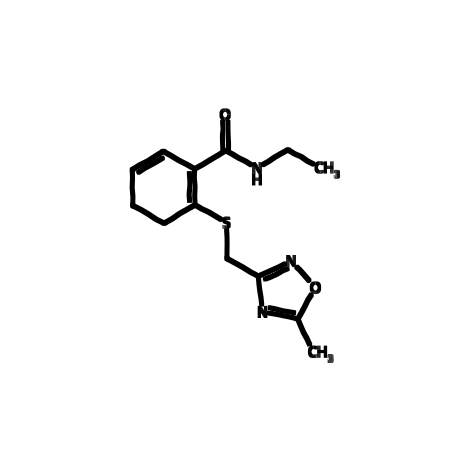 CCNC(=O)C1=C(SCc2noc(C)n2)CCC=C1